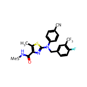 CSNC(=O)c1nc(N(Cc2ccc(F)c(C(F)(F)F)c2)c2ccc(C#N)cc2)sc1C